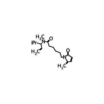 C=CC(C(C)C)N(C)C(=O)CCCCCN1C(=C)C=CC1=O